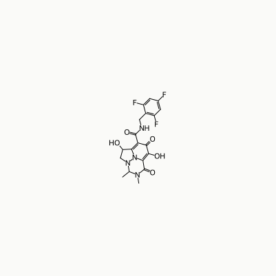 CC1N(C)C(=O)c2c(O)c(=O)c(C(=O)NCc3c(F)cc(F)cc3F)c3n2N1CC3O